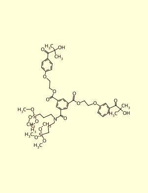 CO[Si](CCCN(CCC[Si](OC)(OC)OC)C(=O)c1cc(C(=O)OCCOc2ccc(C(=O)C(C)(C)O)cc2)cc(C(=O)OCCOc2cccc(C(=O)C(C)(C)O)c2)c1)(OC)OC